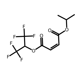 CC(C)OC(=O)/C=C\C(=O)OC(C(F)(F)F)C(F)(F)F